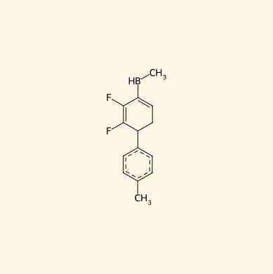 CBC1=CCC(c2ccc(C)cc2)C(F)=C1F